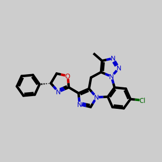 Cc1nnn2c1Cc1c(C3=N[C@H](c4ccccc4)CO3)ncn1-c1ccc(Cl)cc1-2